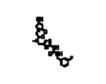 CN(Cc1csc(NC(=O)NCc2cccc(F)c2)n1)C(=O)CN1CC(O)CC1=O